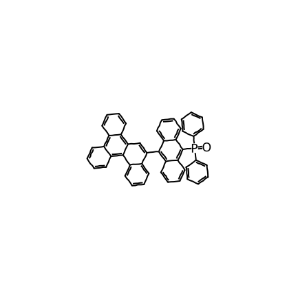 O=P(c1ccccc1)(c1ccccc1)c1c2ccccc2c(-c2cc3c4ccccc4c4ccccc4c3c3ccccc23)c2ccccc12